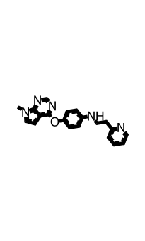 Cn1ccc2c(Oc3ccc(NCCc4ccccn4)cc3)ncnc21